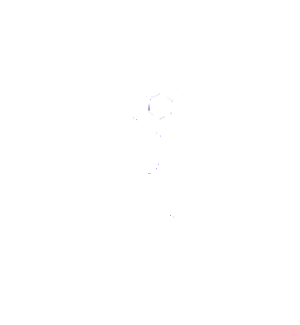 CCOC(=O)N1CC2(CC[C@@H](N3CCN(c4cc(F)cnc4NC4CCOCC4)CC3)C2)C1